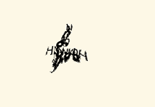 COc1cc(Nc2nc(Nc3cccc(C4(O)CCC4)c3)c3c(C)csc3n2)ccc1N1CCC(N(C)C)CC1